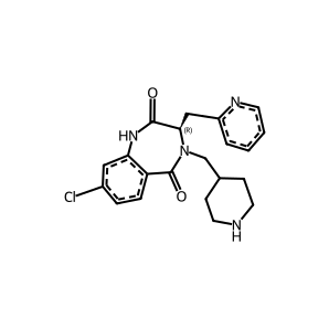 O=C1Nc2cc(Cl)ccc2C(=O)N(CC2CCNCC2)[C@@H]1Cc1ccccn1